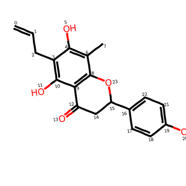 C=CCc1c(O)c(C)c2c(c1O)C(=O)CC(c1ccc(O)cc1)O2